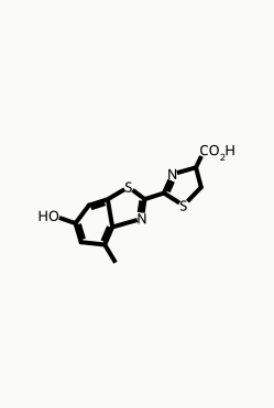 Cc1cc(O)cc2sc(C3=NC(C(=O)O)CS3)nc12